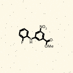 COC(=O)c1cc(Nc2ccccc2F)cc([N+](=O)[O-])c1